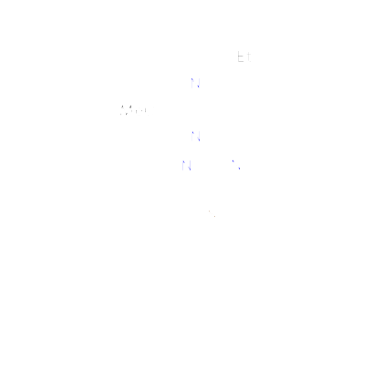 CCc1cc2nc(SCc3ccccc3)nn2c(OC)n1